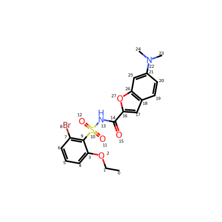 CCOc1cccc(Br)c1S(=O)(=O)NC(=O)c1cc2ccc(N(C)C)cc2o1